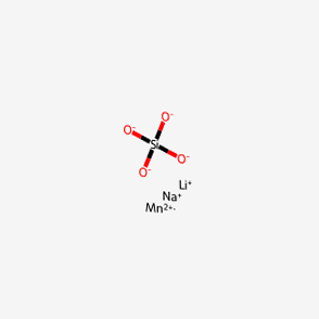 [Li+].[Mn+2].[Na+].[O-][Si]([O-])([O-])[O-]